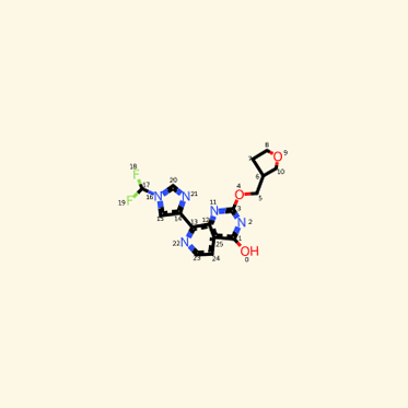 Oc1nc(OCC2CCOC2)nc2c(-c3cn(C(F)F)cn3)nccc12